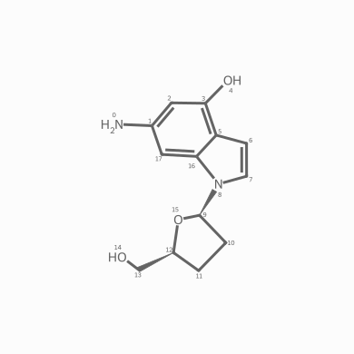 Nc1cc(O)c2ccn([C@H]3CC[C@@H](CO)O3)c2c1